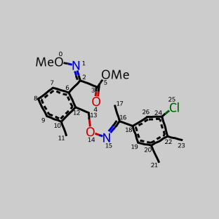 CO/N=C(/C(=O)OC)c1cccc(C)c1CO/N=C(\C)c1cc(C)c(C)c(Cl)c1